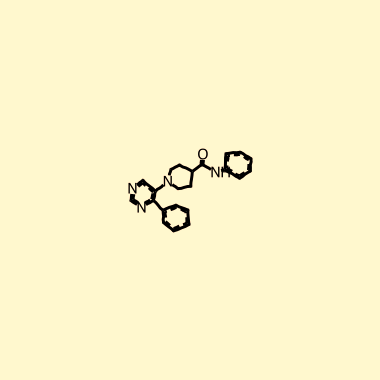 O=C(Nc1ccccc1)C1CCN(c2cncnc2-c2ccccc2)CC1